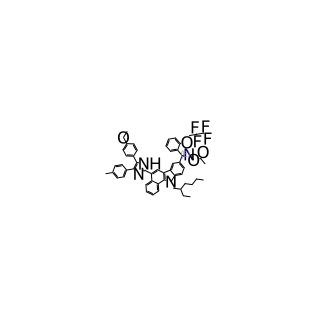 CCCCC(CC)Cn1c2ccc(/C(=N\OC(C)=O)c3ccccc3OCC(F)(F)C(F)F)cc2c2cc(-c3nc(-c4ccc(C)cc4)c(-c4ccc(OC)cc4)[nH]3)c3ccccc3c21